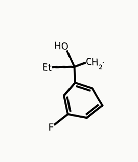 [CH2]C(O)(CC)c1cccc(F)c1